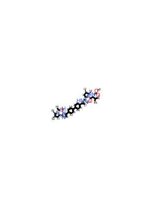 COC(=O)N[C@H](C(=O)N1[C@H](C)[C@H](C)C[C@H]1c1ncc(-c2ccc(-c3ccc(-c4cnc([C@@H]5C[C@@H](C)[C@@H](C)N5C(C)=O)[nH]4)cc3)cc2)[nH]1)C(C)C